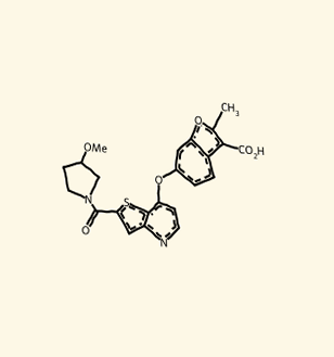 COC1CCN(C(=O)c2cc3nccc(Oc4ccc5c(C(=O)O)c(C)oc5c4)c3s2)C1